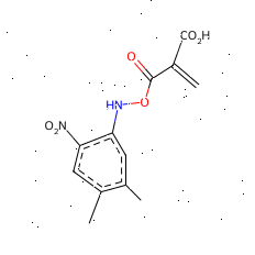 C=C(C(=O)O)C(=O)ONc1cc(C)c(C)cc1[N+](=O)[O-]